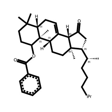 CC(C)CCC[C@@H](C)[C@H]1CC(=O)[C@H]2C3=CC[C@H]4C(C)(C)CCC(OC(=O)c5ccccc5)[C@]4(C)[C@H]3CC[C@@]21C